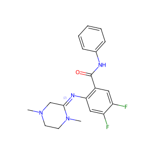 CN1CCN(C)/C(=N\c2cc(F)c(F)cc2C(=O)Nc2ccccc2)C1